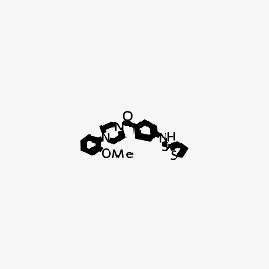 COc1ccccc1N1CCN(C(=O)C2C=CC(NSc3cccs3)=CC2)CC1